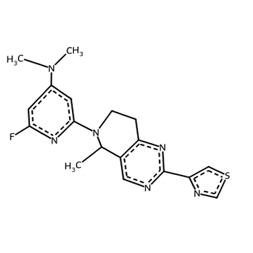 CC1c2cnc(-c3cscn3)nc2CCN1c1cc(N(C)C)cc(F)n1